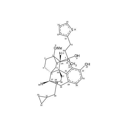 COC12CC[C@@]3(CC1[C@](C)(O)CCc1cccs1)[C@H]1Cc4ccc(O)c5c4[C@@]3(CCN1CC1CC1)[C@H]2O5